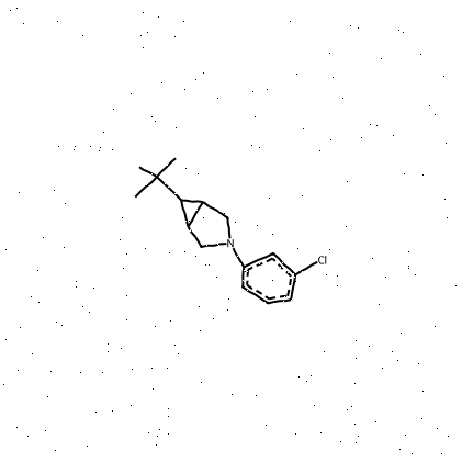 CC(C)(C)C1C2CN(c3cccc(Cl)c3)CC21